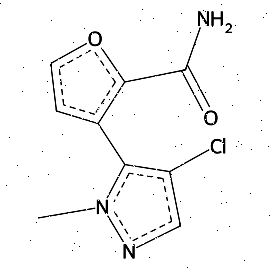 Cn1ncc(Cl)c1-c1ccoc1C(N)=O